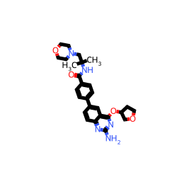 CC(C)(CN1CCOCC1)NC(=O)c1ccc(-c2ccc3nc(N)nc(OC4CCOC4)c3c2)cc1